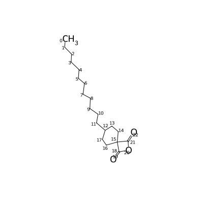 CCCCCCCCCCCCC1CCC2(CC1)C(=O)OC2=O